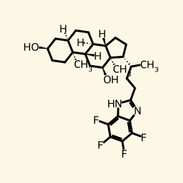 CC(CCc1nc2c(F)c(F)c(F)c(F)c2[nH]1)[C@H]1CC[C@H]2[C@@H]3CC[C@@H]4C[C@H](O)CC[C@]4(C)[C@H]3C[C@H](O)[C@]12C